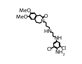 COc1cc2c(cc1OC)CC(=O)N(CCCNCCNc1cc(Cl)c(N)c(Cl)c1)CC2